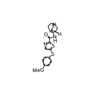 COc1ccc(Sc2cnc(C(=O)N[C@H]3CN4CCC3CC4)s2)cc1